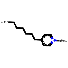 CCCCCCCCCCCCCCCCc1cc[n+](CCCCCC)cc1